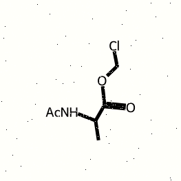 CC(=O)NC(C)C(=O)OCCl